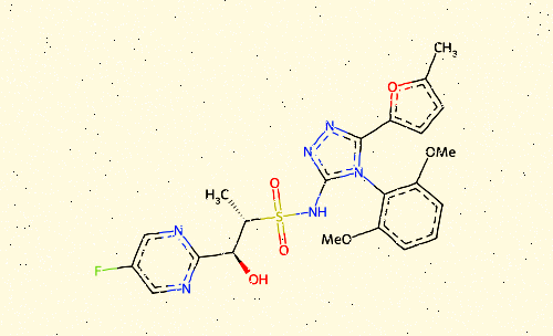 COc1cccc(OC)c1-n1c(NS(=O)(=O)[C@@H](C)[C@@H](O)c2ncc(F)cn2)nnc1-c1ccc(C)o1